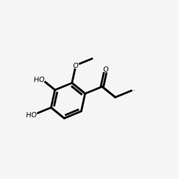 [CH2]CC(=O)c1ccc(O)c(O)c1OC